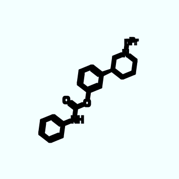 CCCN1CCC[C@@H](c2cccc(OC(=O)Nc3ccccc3)c2)C1